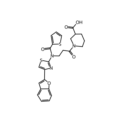 O=C(O)C1CCCN(C(=O)CCN(C(=O)c2cccs2)c2nc(-c3cc4ccccc4o3)cs2)C1